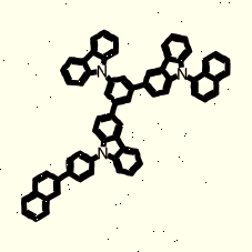 c1ccc2cc(-c3ccc(-n4c5ccccc5c5cc(-c6cc(-c7ccc8c(c7)c7ccccc7n8-c7cccc8ccccc78)cc(-n7c8ccccc8c8ccccc87)c6)ccc54)cc3)ccc2c1